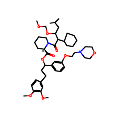 COCOC(CC(C)C)C(C(=O)N1CCCC[C@@H]1C(=O)OC(CCc1ccc(OC)c(OC)c1)c1cccc(OCCN2CCOCC2)c1)C1CCCCC1